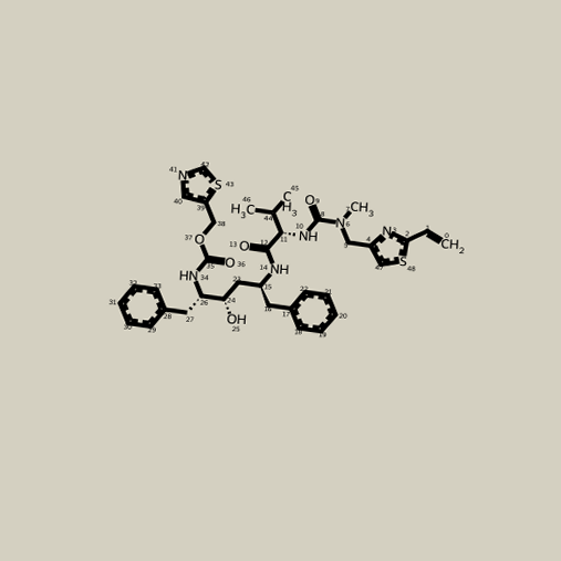 C=Cc1nc(CN(C)C(=O)N[C@H](C(=O)N[C@@H](Cc2ccccc2)C[C@H](O)[C@H](Cc2ccccc2)NC(=O)OCc2cncs2)C(C)C)cs1